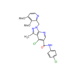 COc1ccnc(Cn2nc(C)c3c(Cl)c(C(=O)Nc4ccc(Cl)cc4)cnc32)c1OC